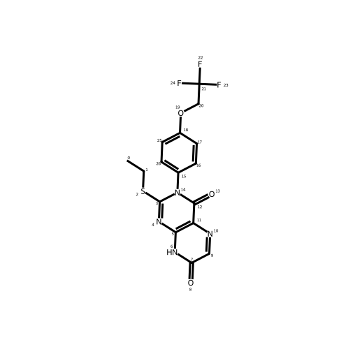 CCSc1nc2[nH]c(=O)cnc2c(=O)n1-c1ccc(OCC(F)(F)F)cc1